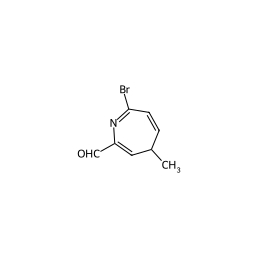 CC1C=CC(Br)=NC(C=O)=C1